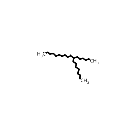 CCCCCCCCC[CH]C(CCCCCC)CCCCCCCC